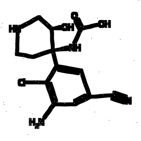 N#Cc1cc(N)c(Cl)c([C@]2(NC(=O)O)CCNC[C@H]2O)c1